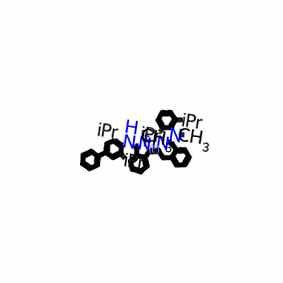 CC(C)c1cc(-c2ccccc2)cc(C(C)C)c1NC1c2ccccc2/C(=C\Cc2ccccc2C(=N)N(C)c2c(C(C)C)cccc2C(C)C)N1C